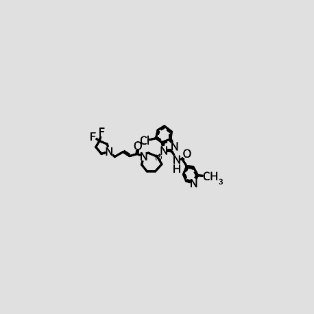 Cc1cc(C(=O)Nc2nc3cccc(Cl)c3n2[C@@H]2CCCCN(C(=O)C=CCN3CCC(F)(F)C3)C2)ccn1